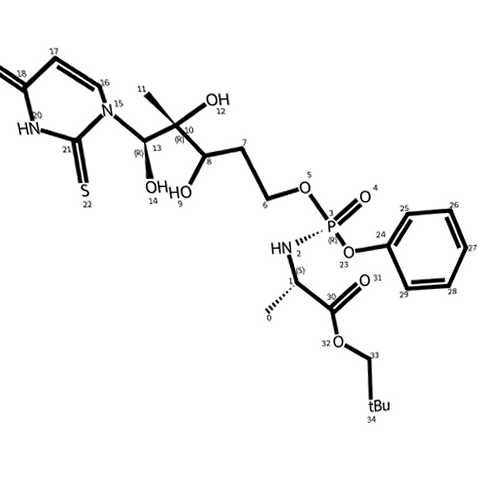 C[C@H](N[P@@](=O)(OCCC(O)[C@@](C)(O)[C@@H](O)n1ccc(=O)[nH]c1=S)Oc1ccccc1)C(=O)OCC(C)(C)C